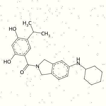 CC(C)c1cc(C(=O)N2Cc3ccc(NC4CCCCC4)cc3C2)c(O)cc1O